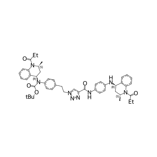 CCC(=O)N1c2ccccc2[C@H](N(C(=O)OC(C)(C)C)c2ccc(CCn3cc(C(=O)Nc4ccc(N[C@@H]5C[C@H](C)N(C(=O)CC)c6ccccc65)cc4)nn3)cc2)C[C@@H]1C